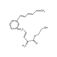 C=C(C=CC(=O)O)C(=O)OCCO.C=CC=CC=Cc1ccccc1